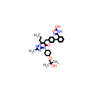 CCCc1c(Cc2ccc(-c3ccccc3C3=NOC(O)N3)cc2)c(=O)n([C@H]2CC[C@H](OCC(C)(C)O)CC2)c2nc(C)nn12